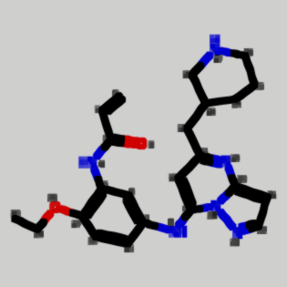 C=CC(=O)Nc1cc(Nc2cc(CC3CCCNC3)nc3ccnn23)ccc1OCC